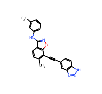 Cc1ccc2c(Nc3cccc(C(F)(F)F)c3)noc2c1C#Cc1ccc2[nH]nnc2c1